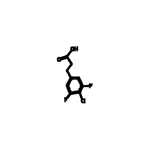 O=C(O)CCc1cc(F)c(Cl)c(F)c1